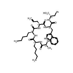 C=CC[C@H](NC(=O)[C@H](CCCCN)NC(=O)[C@H](CCCCN)NC(=O)[C@H](C)N)C(=O)N[C@H](Cc1c[nH]c2ccccc12)C(=O)N[C@@H](CC(C)C)C(=O)O